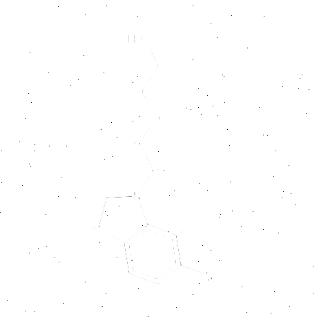 CCCOCCN1CCc2ccc(N)cc21